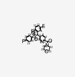 O=C(c1ccc(C(c2cc(F)ccc2F)S(=O)(=O)c2ccc(F)cc2)cn1)N1CCOCC1